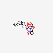 CC(C)Cc1cccc(C(=O)N[C@@H](CO)C(=O)N[C@@H](Cc2ccccc2)C(=O)[C@@]2(CO)CO2)c1